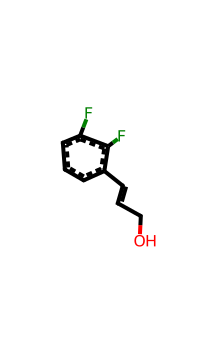 OC/C=C/c1cccc(F)c1F